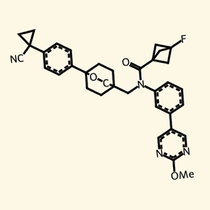 COc1ncc(-c2cccc(N(CC34CCC(c5ccc(C6(C#N)CC6)cc5)(CC3)OC4)C(=O)C34CC(F)(C3)C4)c2)cn1